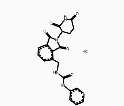 Cl.O=C1CCC(N2C(=O)c3cccc(CNC(=O)Nc4cccnc4)c3C2=O)C(=O)N1